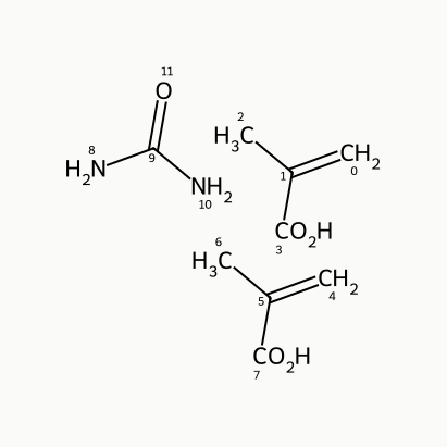 C=C(C)C(=O)O.C=C(C)C(=O)O.NC(N)=O